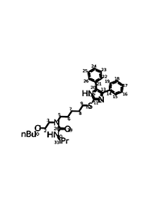 CCCCOCCN(CCCCCSc1nc(-c2ccccc2)c(-c2ccccc2)[nH]1)C(=O)NC(C)C